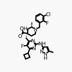 Cc1cc(Nc2nc(C[C@@]3(C(=O)O)CCN(Cc4cccc(Cl)c4F)[C@H](C)C3)c(F)c(C3CCC3)n2)n[nH]1